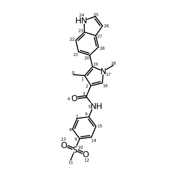 Cc1c(C(=O)Nc2ccc(S(C)(=O)=O)cc2)cn(C)c1-c1ccc2[nH]ccc2c1